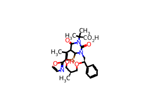 CC1=C(c2ncco2)SC2C1C(=O)N(C(C)(C)C(=O)O)C(=O)N2C[C@H](OC[C@@H](C)CO)c1ccccc1